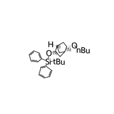 CCCCO[C@H]1C[C@H]2CC1C[C@@H]2O[Si](c1ccccc1)(c1ccccc1)C(C)(C)C